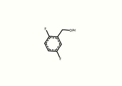 CC(=O)OCc1cc(F)ccc1F